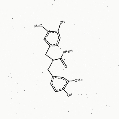 CCCCCCCC(=O)N(Cc1ccc(O)c(OC)c1)Cc1ccc(O)c(OC)c1